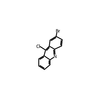 Clc1c2ccccc2nc2ccc(Br)cc12